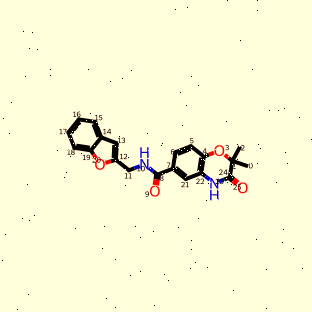 CC1(C)Oc2ccc(C(=O)NCc3cc4ccccc4o3)cc2NC1=O